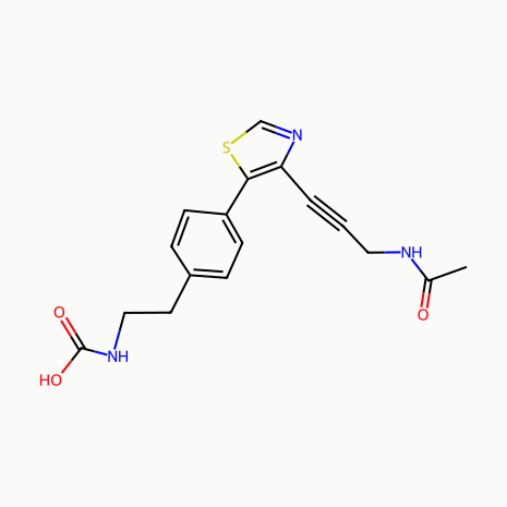 CC(=O)NCC#Cc1ncsc1-c1ccc(CCNC(=O)O)cc1